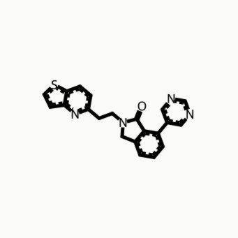 O=C1c2c(cccc2-c2cncnc2)CN1CCc1ccc2sccc2n1